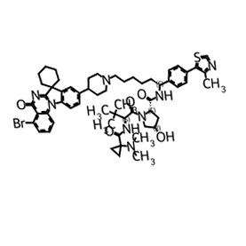 Cc1ncsc1-c1ccc([C@H](CCCCCN2CCC(c3ccc4c(c3)C3(CCCCC3)c3nc(=O)c5c(Br)cccc5n3-4)CC2)NC(=O)[C@@H]2C[C@@H](O)CN2C(=O)[C@@H](NC(=O)C2(N(C)C)CC2)C(C)(C)C)cc1